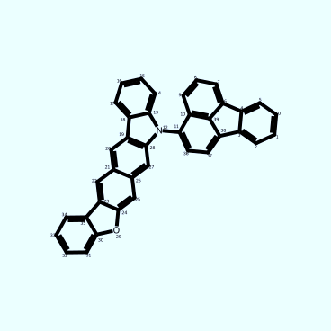 c1ccc2c(c1)-c1cccc3c(-n4c5ccccc5c5cc6cc7c(cc6cc54)oc4ccccc47)ccc-2c13